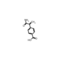 C=C(C(N)=O)c1ccc(C(=O)O)cc1